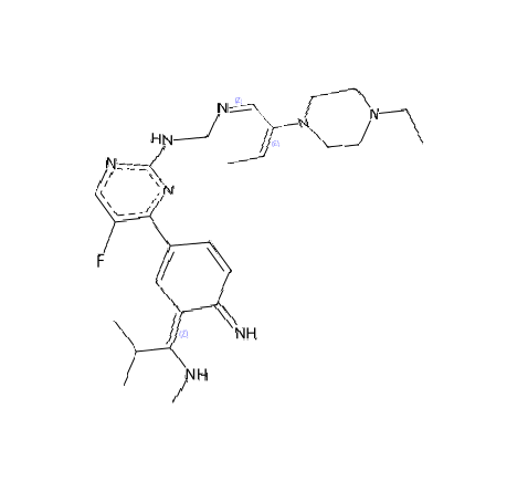 C/C=C(\C=N/CNc1ncc(F)c(C2=C/C(=C(/NC)C(C)C)C(=N)C=C2)n1)N1CCN(CC)CC1